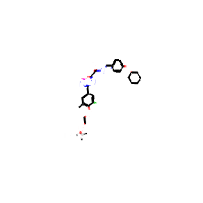 Cc1cc(-c2noc(C(=O)NCc3ccc(OC4CCCCC4)cc3)n2)cc(Cl)c1OCCO[Si](C)(C)C(C)(C)C